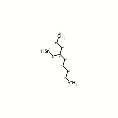 CCCCCC([CH2][SnH])CCC